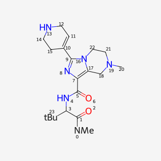 CNC(=O)C(NC(=O)c1nc(C2=CCNCC2)n2c1CN(C)CC2)C(C)(C)C